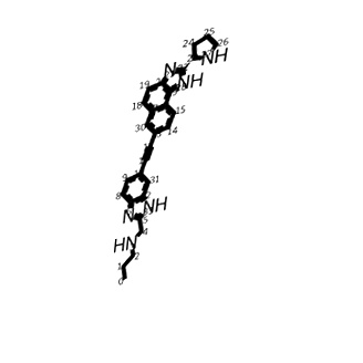 CCCNCc1nc2ccc(C#Cc3ccc4c(ccc5nc([C@@H]6CCCN6)[nH]c54)c3)cc2[nH]1